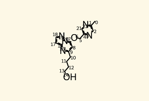 Cc1cnc(COc2cc(CCCCO)nc3ccnn23)cn1